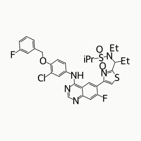 CCC(c1nc(-c2cc3c(Nc4ccc(OCc5cccc(F)c5)c(Cl)c4)ncnc3cc2F)cs1)N(CC)S(=O)(=O)C(C)C